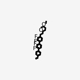 C=Cc1ccc(-c2ccc(-c3ccc(CCC4CCC(OCC)CO4)c(F)c3F)c(F)c2F)cc1